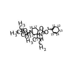 C=CC(C)C1(NC(=O)OCC2=CCCC=C2)CCCN(C(=O)OC(C)(C)C)C1